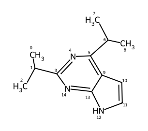 CC(C)c1nc(C(C)C)c2cc[nH]c2n1